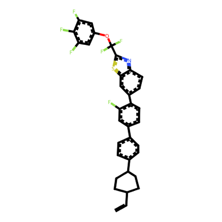 C=CC1CCC(c2ccc(-c3ccc(-c4ccc5nc(C(F)(F)Oc6cc(F)c(F)c(F)c6)sc5c4)c(F)c3)cc2)CC1